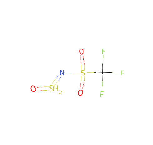 O=[SH2]=NS(=O)(=O)C(F)(F)F